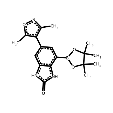 Cc1noc(C)c1-c1cc(B2OC(C)(C)C(C)(C)O2)c2[nH]c(=O)[nH]c2c1